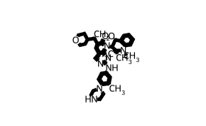 C=C(c1cc2cnc(Nc3ccc(N4CCNCC4)c(C)c3)nc2n(C2C(=O)c3ccccc3N(C)C2(C)C)c1=O)C1CCOCC1